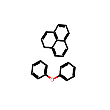 C1=Cc2cccc3cccc(c23)C1.c1ccc(Oc2ccccc2)cc1